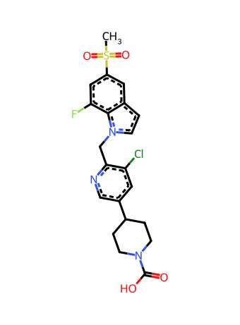 CS(=O)(=O)c1cc(F)c2c(ccn2Cc2ncc(C3CCN(C(=O)O)CC3)cc2Cl)c1